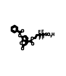 O=C(OC1C2CC3C1OC(=O)C3C2C(=O)OCCC(F)(F)C(F)(F)S(=O)(=O)O)c1ccccc1